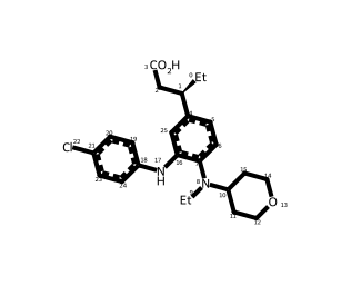 CC[C@H](CC(=O)O)c1ccc(N(CC)C2CCOCC2)c(Nc2ccc(Cl)cc2)c1